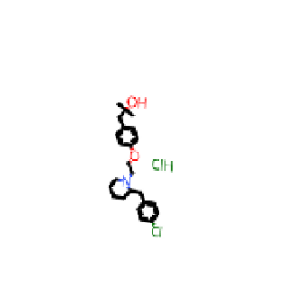 CC(C)(O)Cc1ccc(OCCN2CCCCC2Cc2ccc(Cl)cc2)cc1.Cl